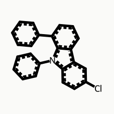 Clc1ccc2c(c1)c1cccc(-c3ccccc3)c1n2-c1ccccc1